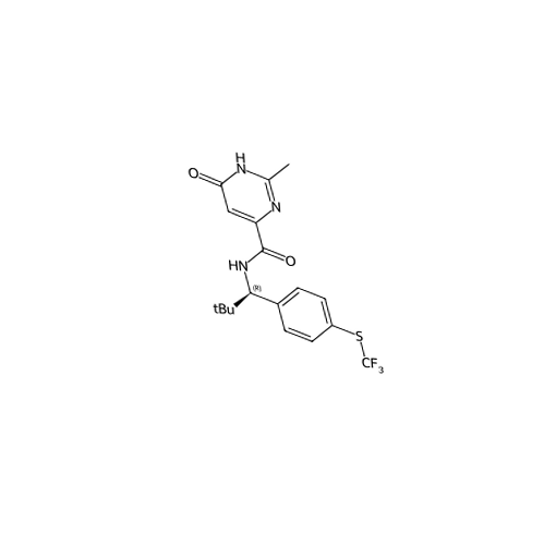 Cc1nc(C(=O)N[C@@H](c2ccc(SC(F)(F)F)cc2)C(C)(C)C)cc(=O)[nH]1